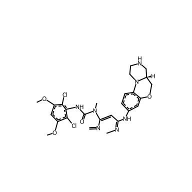 C=N/C(=C\C(=N/C)Nc1ccc2c(c1)OC[C@H]1CNCCN21)N(C)C(=O)Nc1c(Cl)c(OC)cc(OC)c1Cl